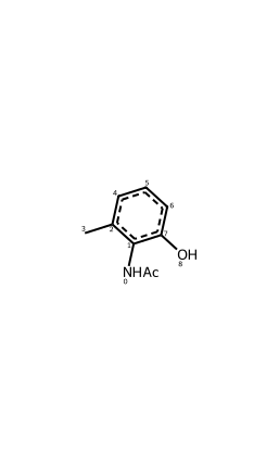 CC(=O)Nc1c(C)cccc1O